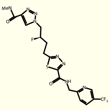 CNC(=O)c1cn(C[C@H](F)CCc2nnc(C(=O)NCc3ccc(C(F)(F)F)cn3)s2)nn1